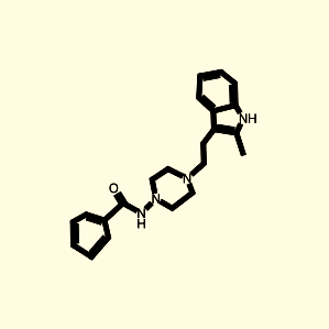 Cc1[nH]c2ccccc2c1CCN1CCN(NC(=O)c2ccccc2)CC1